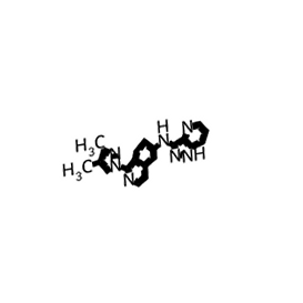 Cc1cn(-c2nccc3cc(Nc4n[nH]c5cccnc45)ccc23)nc1C